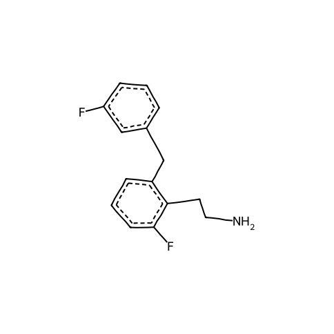 NCCc1c(F)cccc1Cc1cccc(F)c1